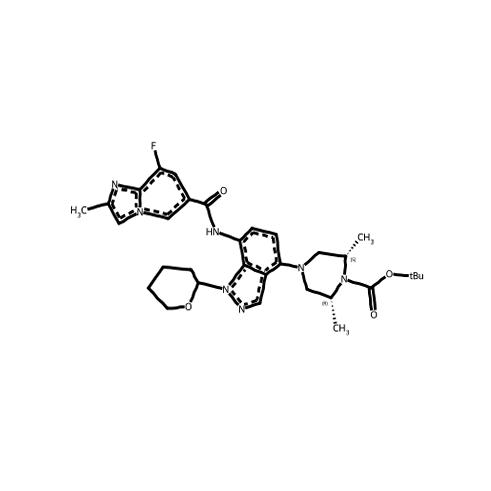 Cc1cn2cc(C(=O)Nc3ccc(N4C[C@@H](C)N(C(=O)OC(C)(C)C)[C@@H](C)C4)c4cnn(C5CCCCO5)c34)cc(F)c2n1